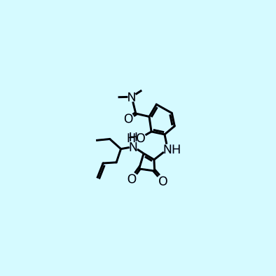 C=CCC(CC)Nc1c(Nc2cccc(C(=O)N(C)C)c2O)c(=O)c1=O